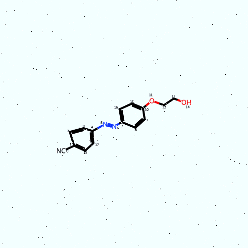 N#Cc1ccc(/N=N/c2ccc(OCCO)cc2)cc1